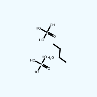 CCCC.O.O=P(O)(O)O.O=P(O)(O)O